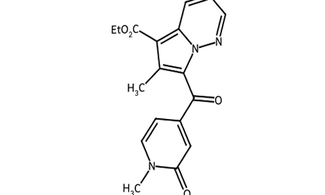 CCOC(=O)c1c(C)c(C(=O)c2ccn(C)c(=O)c2)n2ncccc12